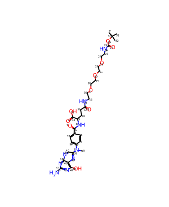 CN(c1ccc(C(=O)NC(CCC(=O)NCCOCCOCCOCCNC(=O)OC(C)(C)C)C(=O)O)cc1)c1cnc2nc(N)nc(O)c2n1